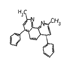 CC1=CC(c2ccccc2)C2C=Cc3c(-c4ccccc4)cc(C)nc3C2=N1